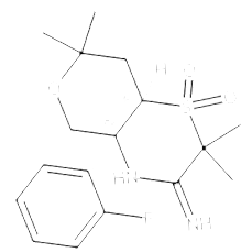 CC1(C)C[C@@H]2[C@](c3ccccc3F)(CO1)NC(=N)C(C)(C)S2(=O)=O